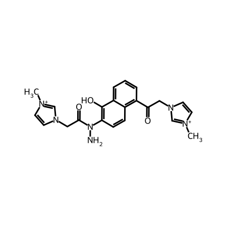 C[n+]1ccn(CC(=O)c2cccc3c(O)c(N(N)C(=O)Cn4cc[n+](C)c4)ccc23)c1